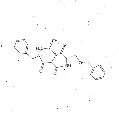 CC(C)N1C(=O)[C@H](COCc2ccccc2)NC(=O)C1C(=O)NCc1ccccc1